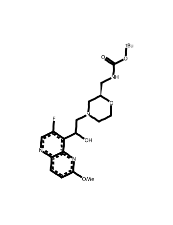 COc1ccc2ncc(F)c(C(O)CN3CCO[C@H](CNC(=O)OC(C)(C)C)C3)c2n1